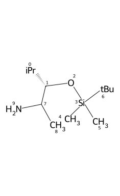 CC(C)[C@H](O[Si](C)(C)C(C)(C)C)C(C)N